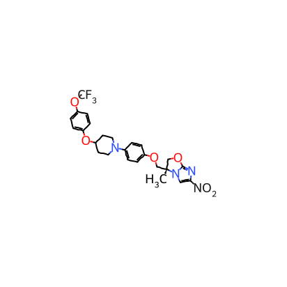 C[C@@]1(COc2ccc(N3CCC(Oc4ccc(OC(F)(F)F)cc4)CC3)cc2)COc2nc([N+](=O)[O-])cn21